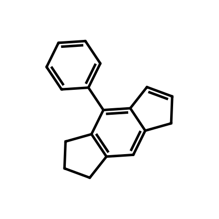 C1=Cc2c(cc3c(c2-c2ccccc2)CCC3)C1